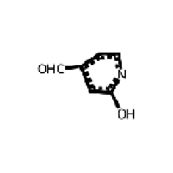 O=Cc1ccnc(O)c1